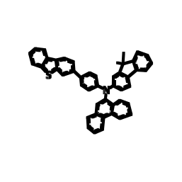 CC1(C)c2ccccc2-c2ccc(N(c3ccc(-c4ccc5c(c4)sc4ccccc45)cc3)c3cc4ccccc4c4ccccc34)cc21